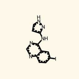 Ic1ccc2ncnc(Nc3cc[nH]n3)c2c1